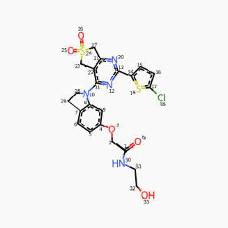 O=C(COc1ccc2c(c1)N(c1nc(-c3ccc(Cl)s3)nc3c1CS(=O)(=O)C3)CC2)NCCO